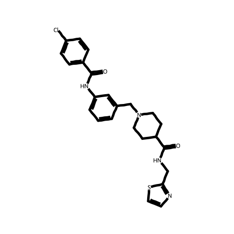 O=C(Nc1cccc(CN2CCC(C(=O)NCc3nccs3)CC2)c1)c1ccc(Cl)cc1